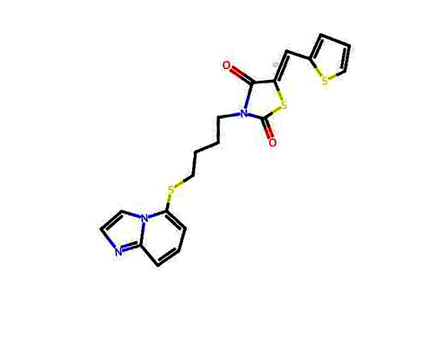 O=C1S/C(=C\c2cccs2)C(=O)N1CCCCSc1cccc2nccn12